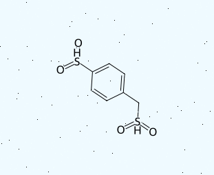 O=[SH](=O)Cc1ccc([SH](=O)=O)cc1